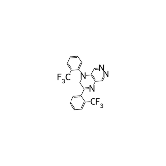 FC(F)(F)c1ccccc1C1=Nc2cnncc2N(c2ccccc2C(F)(F)F)C1